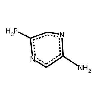 Nc1cnc(P)cn1